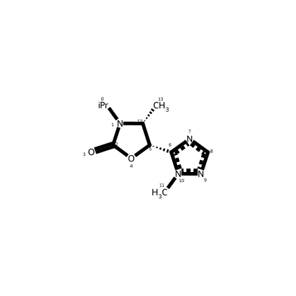 CC(C)N1C(=O)O[C@@H](c2ncnn2C)[C@H]1C